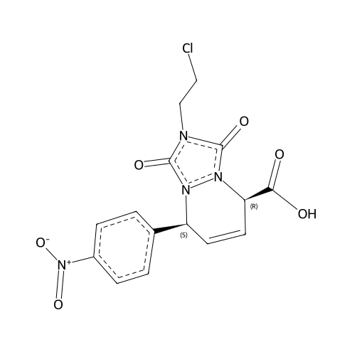 O=C(O)[C@H]1C=C[C@@H](c2ccc([N+](=O)[O-])cc2)n2c(=O)n(CCCl)c(=O)n21